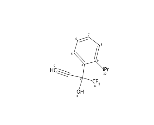 C#CC(O)(c1ccccc1C(C)C)C(F)(F)F